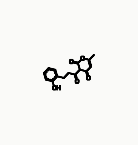 CC1=CC(=O)C(C(=O)CCc2ccccc2O)C(=O)O1